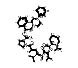 C/C(=C\[C@H](C(C)C)N(C)C(=O)[C@@H](NC(=O)[C@H]1CCCCN1C(C)C)C(C)C)C(=O)N1CCC[C@H]1C(=O)OC(CN1CCN(c2ccccc2)CC1)c1ccccc1